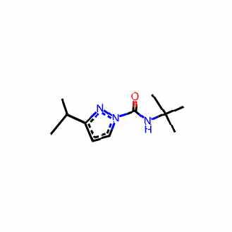 CC(C)c1ccn(C(=O)NC(C)(C)C)n1